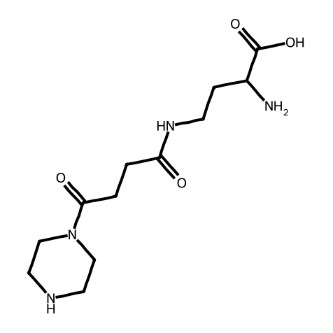 NC(CCNC(=O)CCC(=O)N1CCNCC1)C(=O)O